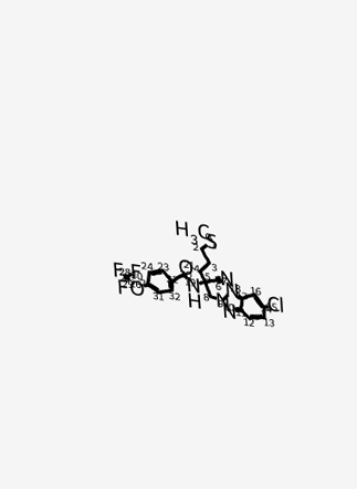 CSCCCC(C#N)(Cn1nc2ccc(Cl)cc2n1)NC(=O)c1ccc(OC(F)(F)F)cc1